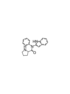 O=C(C1CCCN1)N(c1ccccc1)c1cc2ccccc2[nH]1